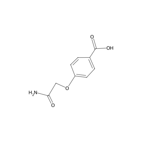 NC(=O)COc1ccc(C(=O)O)cc1